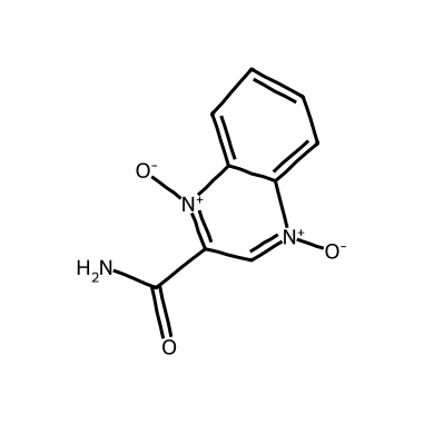 NC(=O)c1c[n+]([O-])c2ccccc2[n+]1[O-]